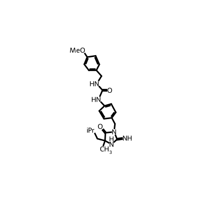 COc1ccc(CNC(=O)Nc2ccc(CN3C(=N)NC(C)(CC(C)C)C3=O)cc2)cc1